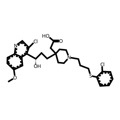 COc1ccc2ncc(Cl)c([C@@H](O)CCC3(CC(=O)O)CCN(CCCSc4ccccc4Cl)CC3)c2c1